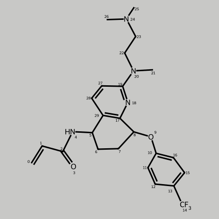 C=CC(=O)NC1CCC(Oc2ccc(C(F)(F)F)cc2)c2nc(N(C)CCN(C)C)ccc21